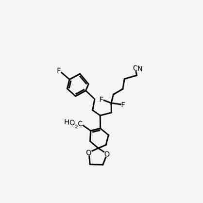 N#CCCCCC(F)(F)CC(CCc1ccc(F)cc1)C1=C(C(=O)O)CC2(CC1)OCCO2